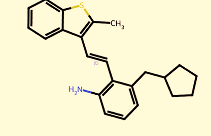 Cc1sc2ccccc2c1/C=C/c1c(N)cccc1CC1CCCC1